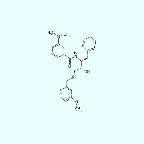 COc1cccc(CNC[C@@H](O)[C@H](Cc2ccccc2)NC(=O)c2cccc(N(C)C)c2)c1